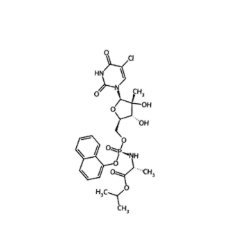 CC(C)OC(=O)[C@@H](C)N[P@@](=O)(OC[C@H]1O[C@@H](n2cc(Cl)c(=O)[nH]c2=O)[C@](C)(O)[C@@H]1O)Oc1cccc2ccccc12